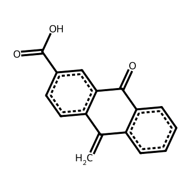 C=C1c2ccccc2C(=O)c2cc(C(=O)O)ccc21